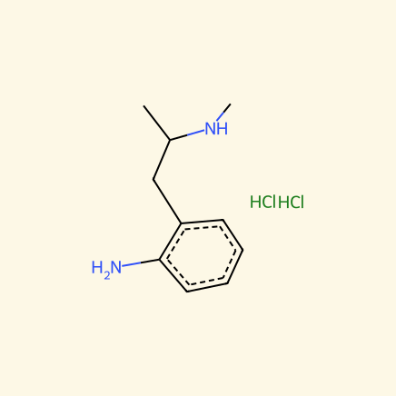 CNC(C)Cc1ccccc1N.Cl.Cl